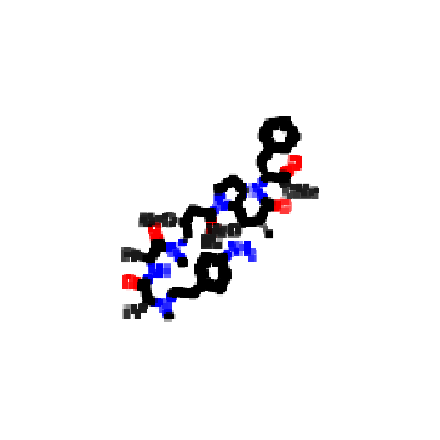 CC[C@H](C)[C@@H]([C@@H](CC(=O)N1CCC[C@H]1[C@H](OC)[C@@H](C)C(=O)N[C@@H](Cc1ccccc1)C(=O)OC)OC)N(C)C(=O)[C@@H](NC(=O)[C@H](C(C)C)N(C)CCc1ccc(N)cc1)C(C)C